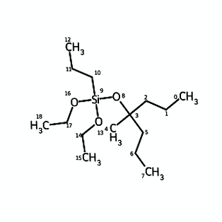 CCCC(C)(CCC)O[Si](CCC)(OCC)OCC